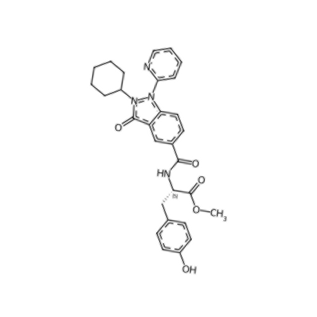 COC(=O)[C@H](Cc1ccc(O)cc1)NC(=O)c1ccc2c(c1)c(=O)n(C1CCCCC1)n2-c1ccccn1